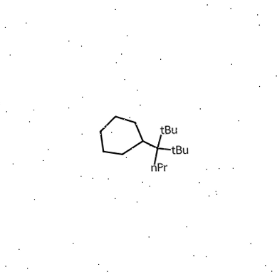 CCCC(C1CCCCC1)(C(C)(C)C)C(C)(C)C